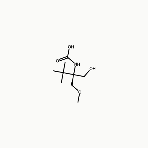 COC[C@](CO)(NC(=O)O)C(C)(C)C